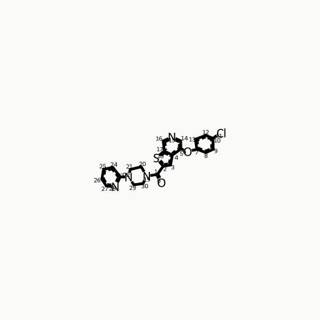 O=C(c1cc2c(Oc3ccc(Cl)cc3)cncc2s1)N1CCN(c2ccccn2)CC1